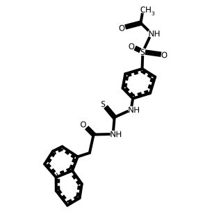 CC(=O)NS(=O)(=O)c1ccc(NC(=S)NC(=O)Cc2cccc3ccccc23)cc1